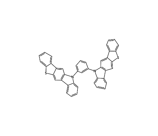 c1cc(-n2c3ccccc3c3cc4sc5ccccc5c4cc32)cc(-n2c3ccccc3c3cc4sc5ccccc5c4cc32)c1